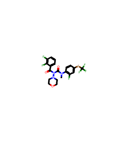 CN(C(=O)N(C(=O)c1cccc(F)c1F)N1CCOCC1)c1ccc(SC(F)(F)F)cc1F